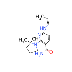 C/C=C\Nc1ccc(C(N)=O)c(N2CCCC2(C)C)n1